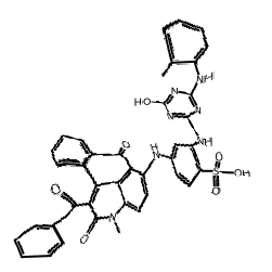 Cc1ccccc1Nc1nc(O)nc(Nc2cc(Nc3ccc4c5c3C(=O)c3ccccc3-c5c(C(=O)c3ccccc3)c(=O)n4C)ccc2S(=O)(=O)O)n1